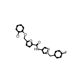 O=C(Nc1cnn(Cc2ccc(F)cc2)c1)c1ccc(COc2ccccc2Cl)o1